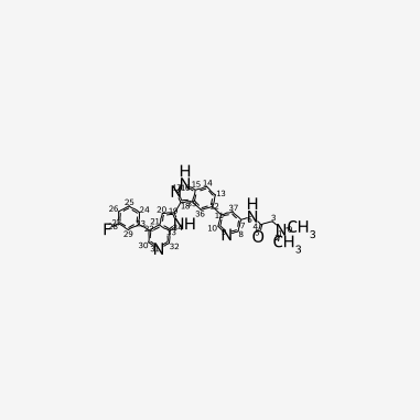 CN(C)CC(=O)Nc1cncc(-c2ccc3[nH]nc(-c4cc5c(-c6cccc(F)c6)cncc5[nH]4)c3c2)c1